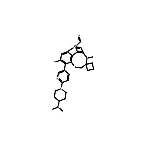 CN(C)C1CCN(c2ccc(-c3c(F)cc4ncc5c(NC=O)c4c3OCC3(CCC3)N5C)cn2)CC1